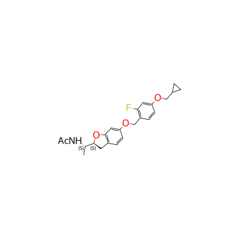 CC(=O)N[C@@H](C)[C@@H]1Cc2ccc(OCc3ccc(OCC4CC4)cc3F)cc2O1